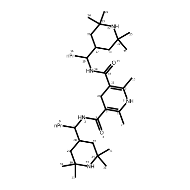 CCCC(NC(=O)C1=C(C)NC(C)=C(C(=O)NC(CCC)C2CC(C)(C)NC(C)(C)C2)C1)C1CC(C)(C)NC(C)(C)C1